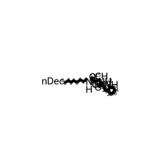 CCCCCCCCCCCCCCCCCCNC(=O)[C@H](O)[C@H](C)NC(=O)c1cc2ccccc2[nH]1